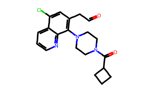 O=CCc1cc(Cl)c2cccnc2c1N1CCN(C(=O)C2CCC2)CC1